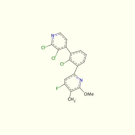 [CH2]c1c(F)cc(-c2cccc(-c3ccnc(Cl)c3Cl)c2Cl)nc1OC